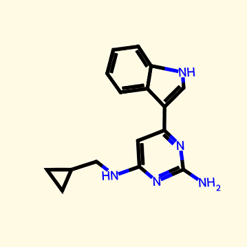 Nc1nc(NCC2CC2)cc(-c2c[nH]c3ccccc23)n1